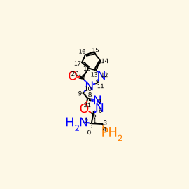 C[C@@](N)(CP)c1nnc(Cn2cnc3ccccc3c2=O)o1